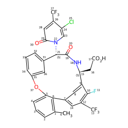 Cc1cccc2c1-c1cc(c(F)c(C(F)(F)F)c1)[C@H](CC(=O)O)NC(=O)[C@@H](n1cc(Cl)c(C(F)(F)F)cc1=O)c1cccc(c1)O2